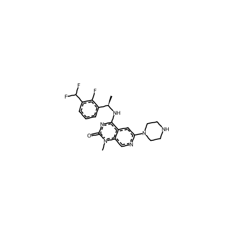 C[C@@H](Nc1nc(=O)n(C)c2cnc(N3CCNCC3)cc12)c1cccc(C(F)F)c1F